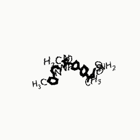 Cc1cccc(-c2cccc(Nc3c(C)noc3-c3ccc(-c4ccc(C5(C)CC5CS(N)(=O)=O)cc4)cc3)n2)c1